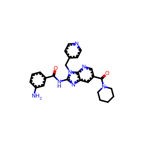 Nc1cccc(C(=O)Nc2nc3cc(C(=O)N4CCCCC4)cnc3n2Cc2ccncc2)c1